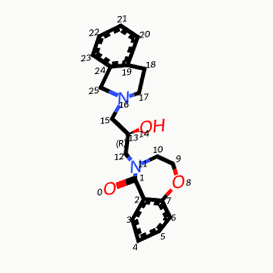 O=C1c2ccccc2OCCN1C[C@H](O)CN1CCc2ccccc2C1